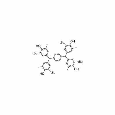 Cc1cc(C(c2ccc(C(c3cc(C)c(O)c(C(C)(C)C)c3)c3cc(C)c(O)c(C(C)(C)C)c3)cc2)c2cc(C)c(O)c(C(C)(C)C)c2)cc(C(C)(C)C)c1O